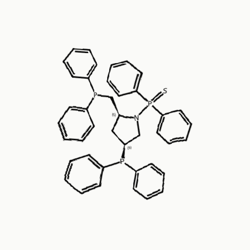 S=P(c1ccccc1)(c1ccccc1)N1C[C@@H](P(c2ccccc2)c2ccccc2)C[C@H]1CP(c1ccccc1)c1ccccc1